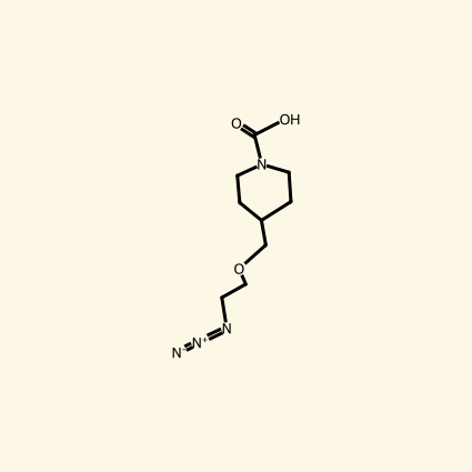 [N-]=[N+]=NCCOCC1CCN(C(=O)O)CC1